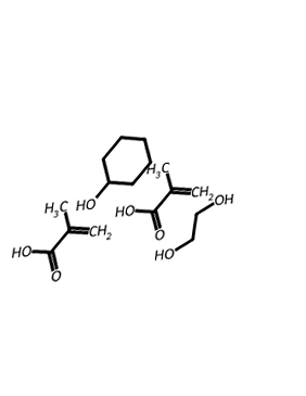 C=C(C)C(=O)O.C=C(C)C(=O)O.OC1CCCCC1.OCCO